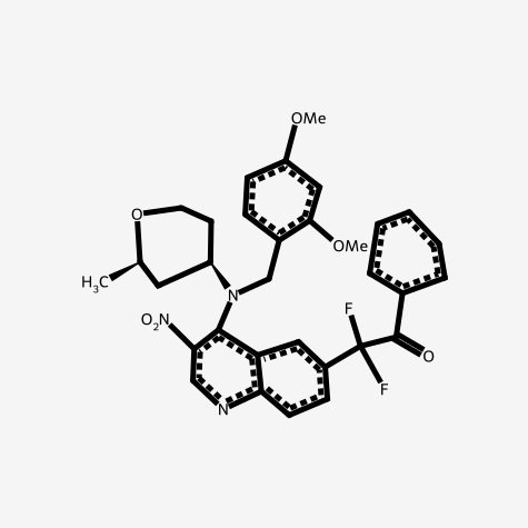 COc1ccc(CN(c2c([N+](=O)[O-])cnc3ccc(C(F)(F)C(=O)c4ccccc4)cc23)[C@@H]2CCO[C@H](C)C2)c(OC)c1